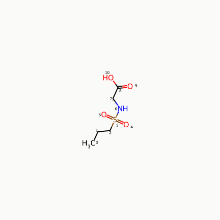 CCCS(=O)(=O)N[CH]C(=O)O